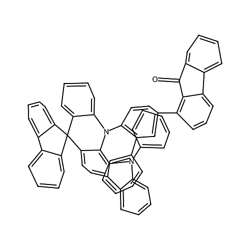 O=C1c2ccccc2-c2cccc(-c3ccc(N4c5ccccc5C5(c6ccccc6-c6ccccc65)c5ccc6c7ccccc7n(-c7ccccc7)c6c54)c(-c4ccccc4)c3)c21